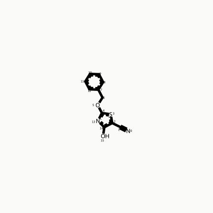 N#Cc1sc(OCc2ccccc2)nc1O